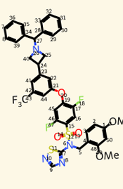 COc1ccc(CN(c2ncns2)S(=O)(=O)c2cc(F)c(Oc3cc(C4CN(C(c5ccccc5)c5ccccc5)C4)cc(C(F)(F)F)c3)cc2F)c(OC)c1